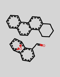 O=Cc1cccc2c3ccc(o3)c12.c1ccc2c(c1)ccc1c3c(ccc12)CCCC3